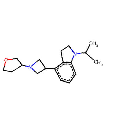 CC(C)N1CCc2c(C3CN(C4CCOC4)C3)cccc21